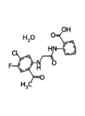 CC(=O)c1cc(F)c(Cl)cc1NCC(=O)Nc1ccccc1C(=O)O.O